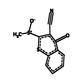 C[S+]([O-])c1sc2ccccc2c(=O)c1C#N